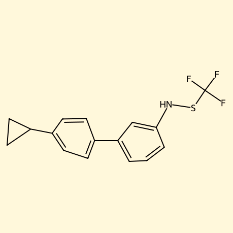 FC(F)(F)SNc1cccc(-c2ccc(C3CC3)cc2)c1